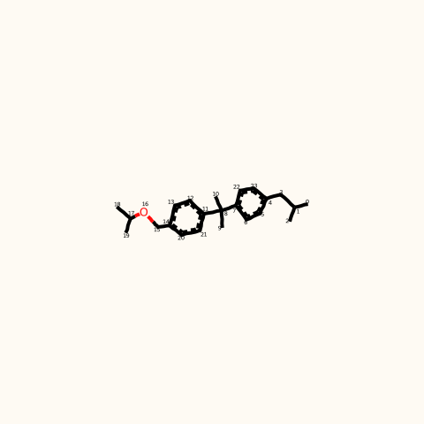 CC(C)Cc1ccc(C(C)(C)c2ccc(COC(C)C)cc2)cc1